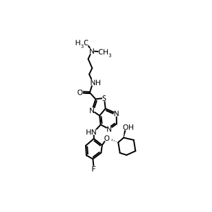 CN(C)CCCNC(=O)c1nc2c(Nc3ccc(F)cc3O[C@H]3CCCC[C@@H]3O)ncnc2s1